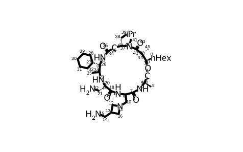 CCCCCC[C@H]1OC[C@@H](C)NC(=O)C(CN2CC(CN)C2)NC(=O)[C@H](CN)NC(C)[C@H](C2CCCCC2)NC(=O)C[C@H](CC(C)C)N(C)C(=O)[C@@H]1C